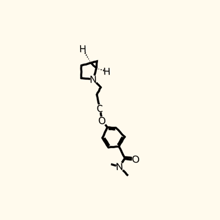 CN(C)C(=O)c1ccc(OCCCN2CC[C@H]3C[C@H]32)cc1